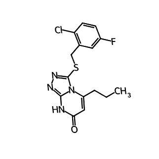 CCCc1cc(=O)[nH]c2nnc(SCc3cc(F)ccc3Cl)n12